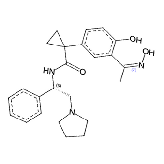 C/C(=N/O)c1cc(C2(C(=O)N[C@H](CN3CCCC3)c3ccccc3)CC2)ccc1O